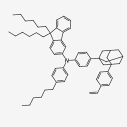 C=Cc1ccc(C23CC4CC(C2)CC(c2ccc(N(c5ccc(CCCCCC)cc5)c5ccc6c(c5)-c5ccccc5C6(CCCCCC)CCCCCC)cc2)(C4)C3)cc1